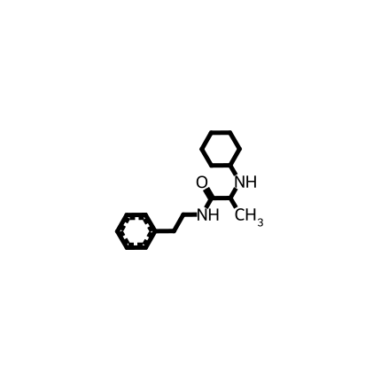 CC(NC1CCCCC1)C(=O)NCCc1ccccc1